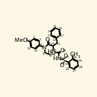 COc1ccc(N(CC(C)C)C(=O)C(Cc2ccccc2)NC(=O)NS(=O)(=O)c2ccccc2C)cc1